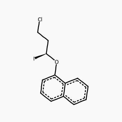 ClCC[C@H](I)Oc1cccc2ccccc12